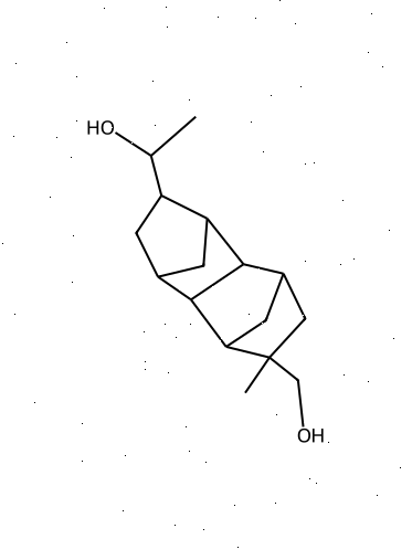 CC(O)C1CC2CC1C1C3CC(C21)C(C)(CO)C3